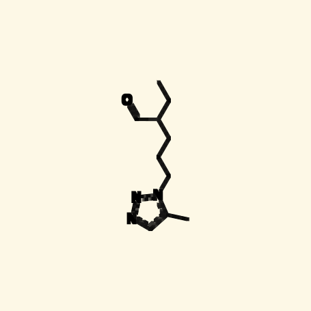 CCC(C=O)CCCn1nncc1C